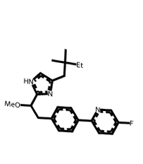 CCC(C)(C)Cc1c[nH]c(C(Cc2ccc(-c3ccc(F)cn3)cc2)OC)n1